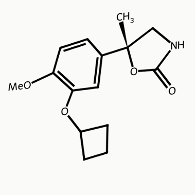 COc1ccc([C@]2(C)CNC(=O)O2)cc1OC1CCC1